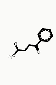 CC(Cl)CCC(=O)c1ccccc1